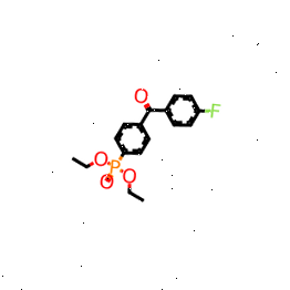 CCOP(=O)(OCC)c1ccc(C(=O)c2ccc(F)cc2)cc1